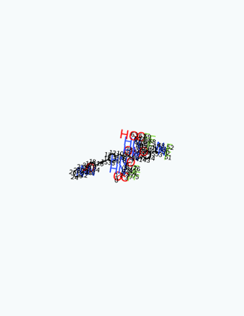 COC(=O)N[C@H](C(=O)N[C@@H](Cc1ccc(C#Cc2ccc(N3CC4CCC(C3)N4C3COC3)nc2)cc1)[C@@H](O)CN(Cc1ccc(-c2cnn(C(F)F)c2)cc1)NC(=O)[C@@H](NC(=O)O)C(C)(C)C(F)(F)F)C(C)(C)C(F)(F)F